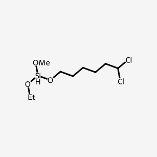 CCO[SiH](OC)OCCCCCC(Cl)Cl